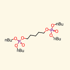 CCCCOP(=O)(OCCCC)OCCCCCOP(=O)(OCCCC)OCCCC